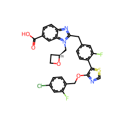 O=C(O)c1ccc2nc(Cc3ccc(-c4scnc4OCc4ccc(Cl)cc4F)c(F)c3)n(C[C@@H]3CCO3)c2c1